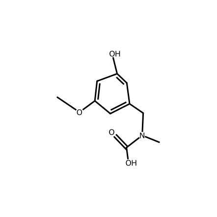 COc1cc(O)cc(CN(C)C(=O)O)c1